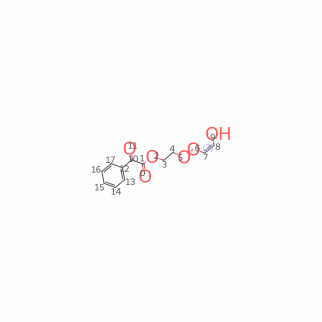 O=C(OCCOO/C=C\O)C(=O)c1ccccc1